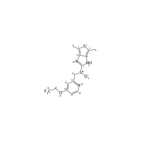 Cc1sc(C)c2[nH]c([S+]([O-])Cc3cc(OCC(F)(F)F)ccn3)nc12